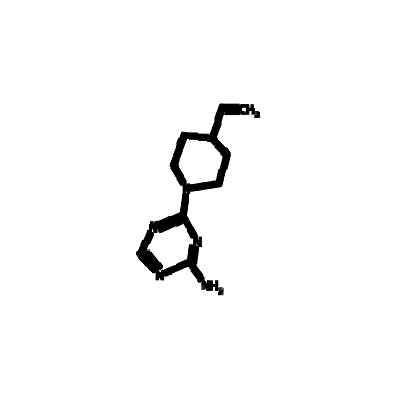 C=CC1CCN(c2ncnc(N)n2)CC1